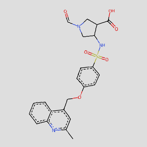 Cc1cc(COc2ccc(S(=O)(=O)NC3CN(C=O)CC3C(=O)O)cc2)c2ccccc2n1